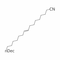 CCCCCCCCCCCCCCCC/C=C/CCCCCCCC#N